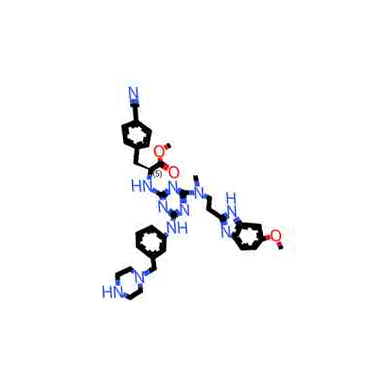 COC(=O)[C@H](Cc1ccc(C#N)cc1)Nc1nc(Nc2cccc(CN3CCNCC3)c2)nc(N(C)CCc2nc3ccc(OC)cc3[nH]2)n1